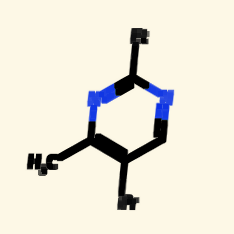 CCc1ncc(C(C)C)c(C)n1